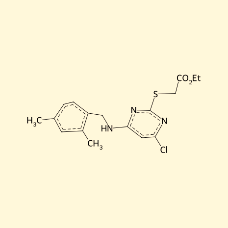 CCOC(=O)CSc1nc(Cl)cc(NCc2ccc(C)cc2C)n1